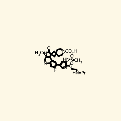 CC(C)NCCOc1ncc(-c2cc3c4c(cnc3cc2F)N(C)C(=O)C42CC3(CCN(C(=O)O)CC3)C2)cc1NS(C)(=O)=O